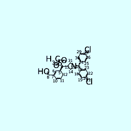 CS(=O)(=O)C(=C1C=C(CO)C=CC1)C1CN(C(c2ccc(Cl)cc2)c2ccc(Cl)cc2)C1